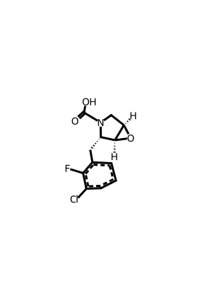 O=C(O)N1C[C@H]2O[C@H]2[C@@H]1Cc1cccc(Cl)c1F